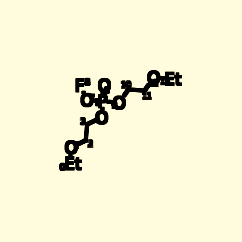 CCOCCOP(=O)(OF)OCCOCC